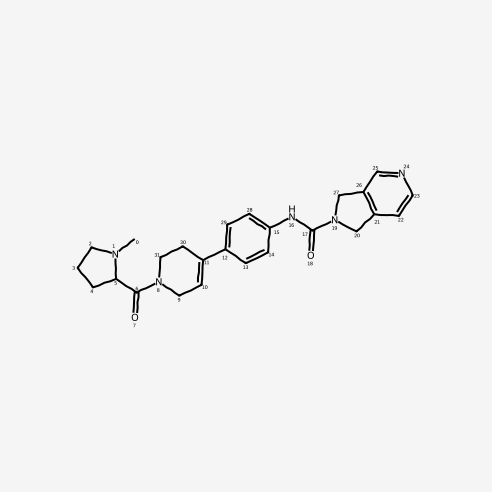 CN1CCCC1C(=O)N1CC=C(c2ccc(NC(=O)N3Cc4ccncc4C3)cc2)CC1